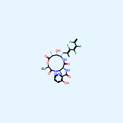 C=C(F)/C(F)=C(F)\C(F)=C(/C)C[C@@H]1NC(=O)[C@@H](NC(=O)c2ncccc2O)[C@@H](C)NC(=O)C(C(C)CC)OC(=O)[C@H](C)[C@@H]1O